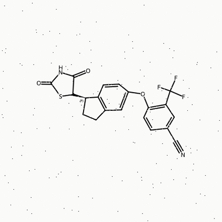 N#Cc1ccc(Oc2ccc3c(c2)CC[C@H]3C2SC(=O)NC2=O)c(C(F)(F)F)c1